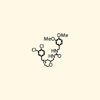 COc1ccc(CNC(=O)NCC2CN(Cc3ccc(Cl)c(Cl)c3)CCO2)cc1OC